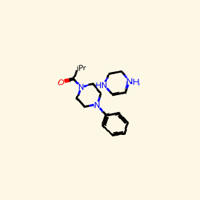 C1CNCCN1.CC(C)C(=O)N1CCN(c2ccccc2)CC1